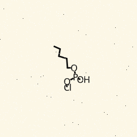 CCCCCOP(O)OCl